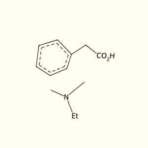 CCN(C)C.O=C(O)Cc1ccccc1